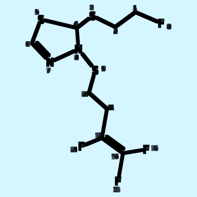 FCCSC1SC=NN1SCCC(F)=C(F)F